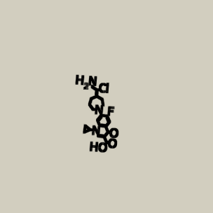 NC/C(Cl)=C1\CCCN(c2cc3c(cc2F)c(=O)c(C(=O)O)cn3C2CC2)CC1